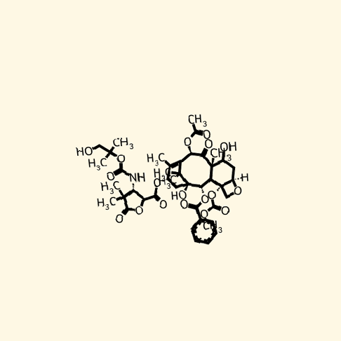 COC(=O)O[C@@]12CO[C@@H]1CC(O)[C@@]1(C)C(=O)[C@H](OC(C)=O)C3=C(C)[C@@H](OC(=O)C4OC(=O)C(C)(C)[C@@H]4NC(=O)OC(C)(C)CO)C[C@@](O)([C@@H](OC(=O)c4ccccc4)C12)C3(C)C